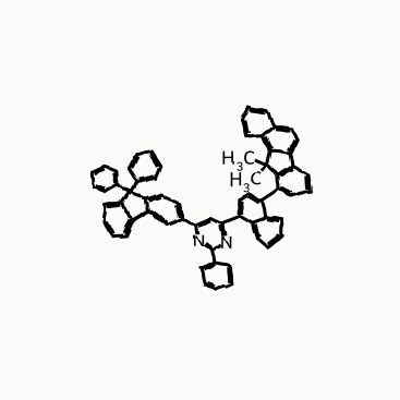 CC1(C)c2c(cccc2-c2ccc(-c3cc(-c4ccc5c(c4)-c4ccccc4C5(c4ccccc4)c4ccccc4)nc(-c4ccccc4)n3)c3ccccc23)-c2ccc3ccccc3c21